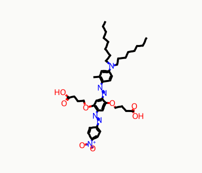 CCCCCCCCN(CCCCCCCC)c1ccc(N=Nc2cc(OCCCC(=O)O)c(N=Nc3ccc([N+](=O)[O-])cc3)cc2OCCCC(=O)O)c(C)c1